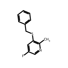 Cc1ncc(F)cc1SCc1ccccc1